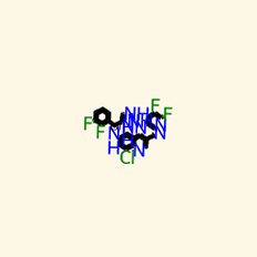 N#Cc1cnc2c(Cl)cc(N[C@H](C3=CNNN3)c3cccc(F)c3F)cc2c1Nc1cnc(F)c(F)c1